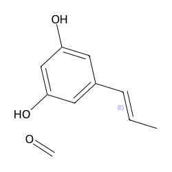 C/C=C/c1cc(O)cc(O)c1.C=O